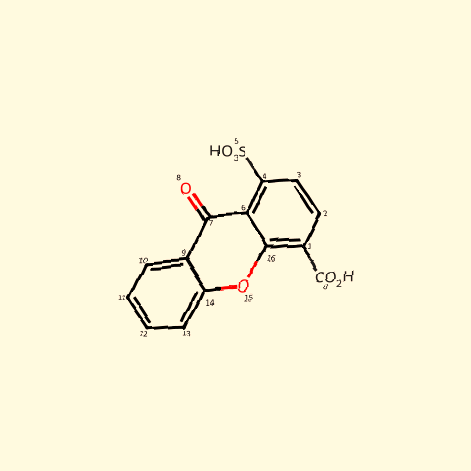 O=C(O)c1ccc(S(=O)(=O)O)c2c(=O)c3ccccc3oc12